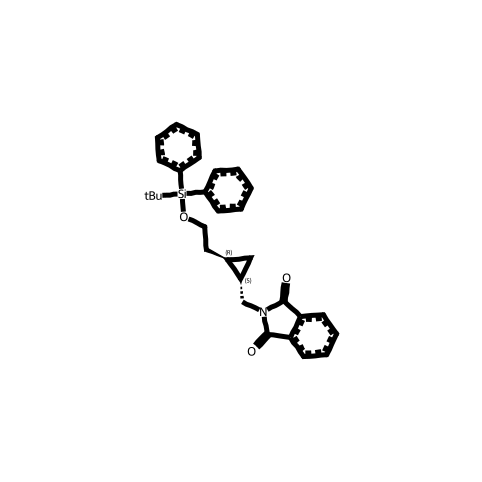 CC(C)(C)[Si](OCC[C@H]1C[C@@H]1CN1C(=O)c2ccccc2C1=O)(c1ccccc1)c1ccccc1